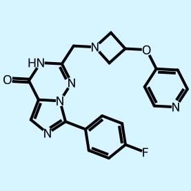 O=c1[nH]c(CN2CC(Oc3ccncc3)C2)nn2c(-c3ccc(F)cc3)ncc12